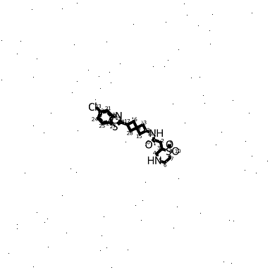 O=C(CC1CNCCS1(=O)=O)NC1CC2(C1)CC(c1nc3cc(Cl)ccc3s1)C2